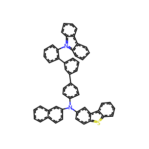 c1cc(-c2ccc(N(c3ccc4ccccc4c3)c3ccc4sc5ccccc5c4c3)cc2)cc(-c2ccccc2-n2c3ccccc3c3ccccc32)c1